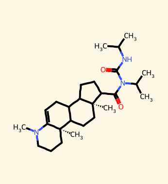 CC(C)NC(=O)N(C(=O)C1CCC2C3CC=C4N(C)CCC[C@]4(C)C3CC[C@]12C)C(C)C